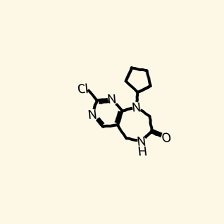 O=C1CN(C2CCCC2)c2nc(Cl)ncc2CN1